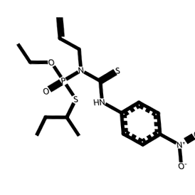 C=CCN(C(=S)Nc1ccc([N+](=O)[O-])cc1)P(=O)(OCC)SC(C)CC